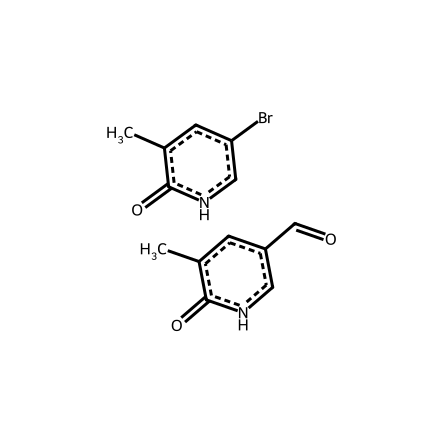 Cc1cc(Br)c[nH]c1=O.Cc1cc(C=O)c[nH]c1=O